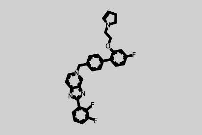 Fc1ccc(-c2ccc(Cn3ccc4nc(-c5cccc(F)c5F)nc-4c3)cc2)c(OCCN2C=CCC2)c1